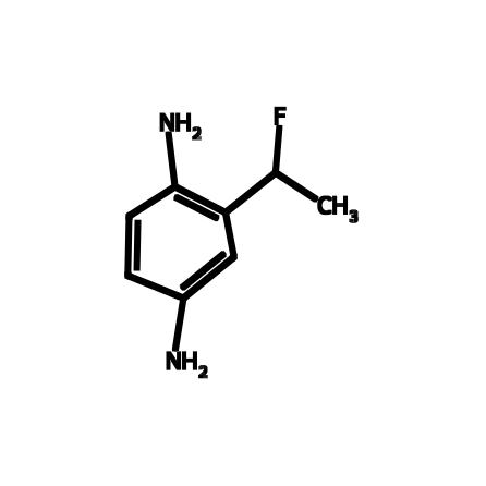 CC(F)c1cc(N)ccc1N